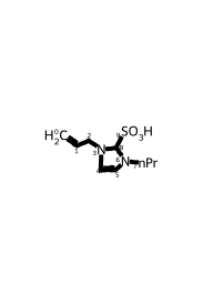 C=CCN1C=CN(CCC)C1S(=O)(=O)O